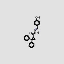 O=C(N/N=C/c1ccc(O)cc1)C1CC1(c1ccccc1)c1ccccc1